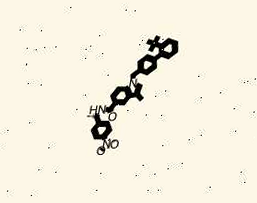 Cc1cn(Cc2ccc(-c3ccccc3C(C)(C)C)cc2)c2ccc(C(=O)N[C@@H](C)c3ccc([N+](=O)[O-])cc3)cc12